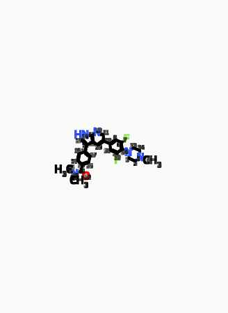 CN1CCN(c2c(F)cc(-c3cnc4[nH]cc(-c5ccc(C(=O)N(C)C)cc5)c4c3)cc2F)CC1